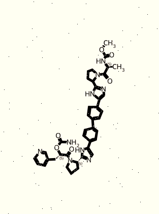 COC(=O)N[C@@H](C)C(=O)N1CCCC1c1ncc(-c2ccc(-c3ccc(-c4cnc([C@@H]5CCCN5C(=O)[C@H](Cc5cccnc5)OC(N)=O)[nH]4)cc3)cc2)[nH]1